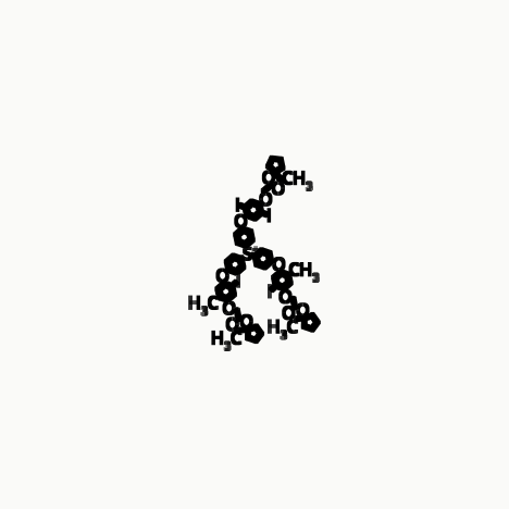 CCC1(OC(=O)COc2cc(I)c(Oc3ccc([S+](c4ccc(Oc5cc(I)c(OCC(=O)OC6(CC)CCCC6)cc5C)cc4)c4ccc(Oc5cc(I)c(OCC(=O)OC6(CC)CCCC6)cc5I)cc4)cc3)cc2C)CCCC1